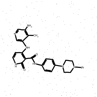 Cc1c(N)cncc1Nc1cc[nH]c(=O)c1C(=O)Nc1ccc(N2CCN(C(C)C)CC2)cc1